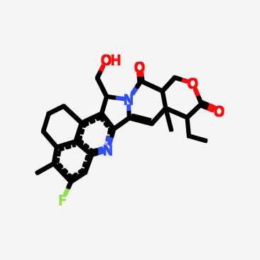 CCC1C(=O)OCC2C(=O)N3C(=CC12C)c1nc2cc(F)c(C)c4c2c(c1C3CO)CCC4